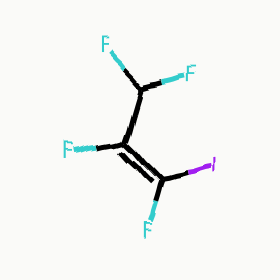 FC(I)=C(F)C(F)F